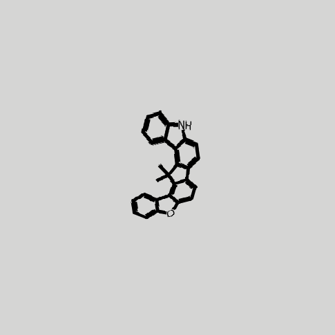 CC1(C)c2c(ccc3[nH]c4ccccc4c23)-c2ccc3oc4ccccc4c3c21